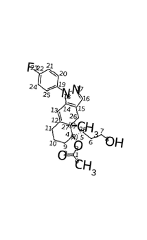 CC(=O)O[C@@]1(CCCO)CCCC2=Cc3c(cnn3-c3ccc(F)cc3)C[C@@]21C